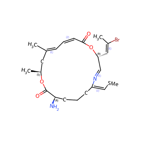 CS/C=C1CCC[C@@H](N)C(=O)O[C@@H](C)C/C(C)=C/C=C\C(=O)O[C@H](/C=C(\C)Br)/C=N/1